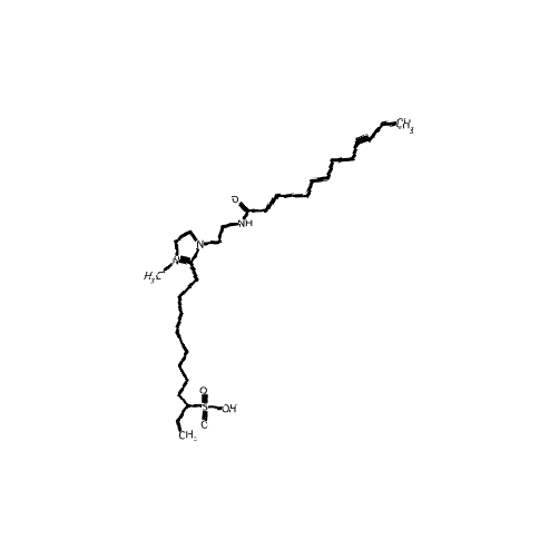 CC/C=C/CCCCCCCC(=O)NCCN1CC[N+](C)=C1CCCCCCCCC(CC)S(=O)(=O)O